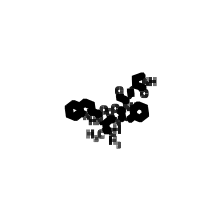 CC(C)[C@H](NC(=O)c1ccc2ccccc2n1)C(=O)N[C@@H](CC1CCCCC1)C(=O)N[C@H](C=O)CC[C@@H]1CCNC1=O